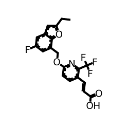 CCc1cc2cc(F)cc(COc3ccc(C=CC(=O)O)c(C(F)(F)F)n3)c2o1